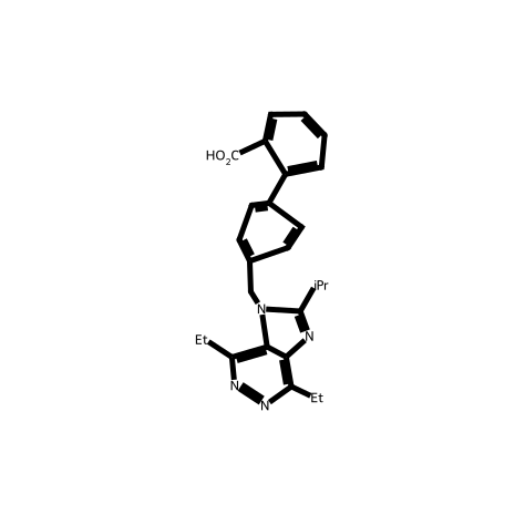 CCc1nnc(CC)c2c1nc(C(C)C)n2Cc1ccc(-c2ccccc2C(=O)O)cc1